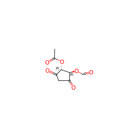 CC(=O)O[C@H]1C(=O)CC(=O)[C@@H]1OC=O